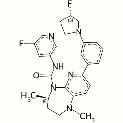 C[C@@H]1CCN(C)c2ccc(-c3cccc(N4CC[C@H](F)C4)c3)nc2N1C(=O)Nc1cncc(F)c1